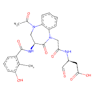 CC(=O)N1C[C@H](NC(=O)c2cccc(O)c2C)C(=O)N(CC(=O)N[C@H](C=O)CC(=O)O)c2ccccc21